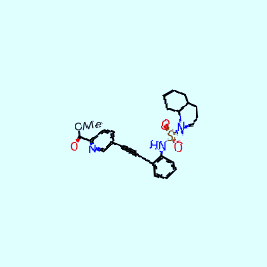 COC(=O)c1ccc(C#Cc2ccccc2NS(=O)(=O)N2CCCC3CCCCC32)cn1